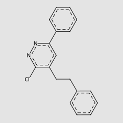 Clc1nnc(-c2ccccc2)cc1CCc1ccccc1